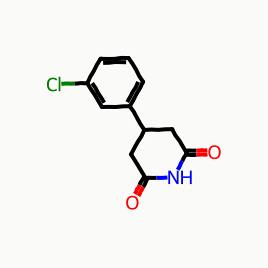 O=C1CC(c2cccc(Cl)c2)CC(=O)N1